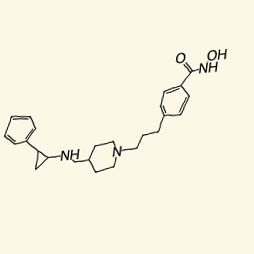 O=C(NO)c1ccc(CCCN2CCC(CNC3CC3c3ccccc3)CC2)cc1